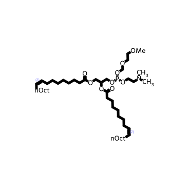 CCCCCCCC/C=C\CCCCCCCC(=O)OCC(COP(OCCN(C)C)OCOCCOC)OC(=O)CCCCCCC/C=C\CCCCCCCC